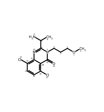 COCCCn1c(C(C)N)nc2c(Cl)ccc(Cl)c2c1=O